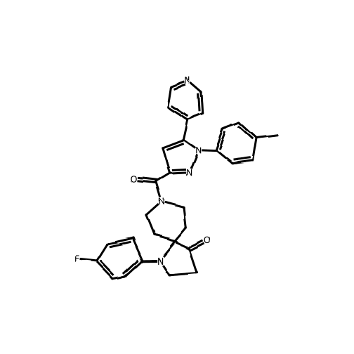 Cc1ccc(-n2nc(C(=O)N3CCC4(CC3)C(=O)CCN4c3ccc(F)cc3)cc2-c2ccncc2)cc1